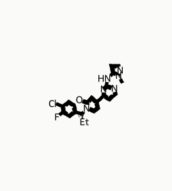 CC[C@H](c1ccc(Cl)c(F)c1)n1ccc(-c2ccnc(Nc3ccnn3C)n2)cc1=O